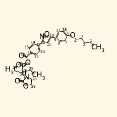 CCCCCOc1ccc(-c2cc(-c3ccc(C(=O)O[PH](=O)C(CC)(CC)N4CCOC4=O)cc3)no2)cc1